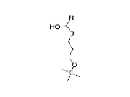 CCC(O)OCCCO[Si](C)(C)C